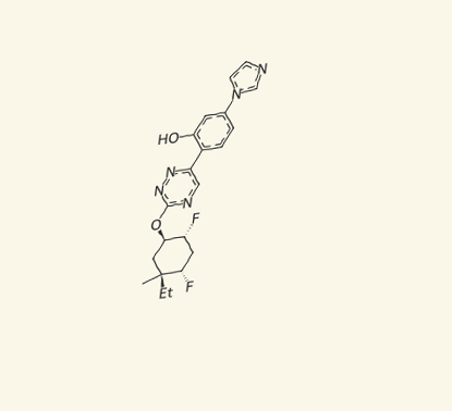 CC[C@@]1(C)C[C@@H](Oc2ncc(-c3ccc(-n4ccnc4)cc3O)nn2)[C@H](F)C[C@@H]1F